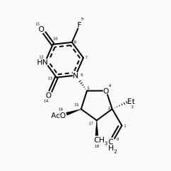 C=C[C@]1(CC)O[C@@H](n2cc(F)c(=O)[nH]c2=O)[C@H](OC(C)=O)[C@@H]1C